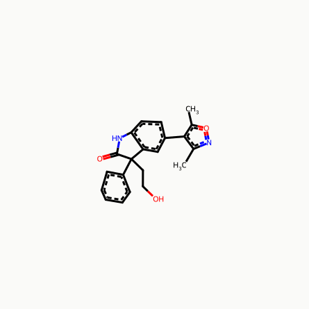 Cc1noc(C)c1-c1ccc2c(c1)C(CCO)(c1ccccc1)C(=O)N2